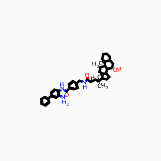 C[C@H](CCC(=O)NCc1ccc(C(=O)Nc2ccc(-c3ccccc3)cc2N)cc1)C1CCC2C3C(O)CC4CCCCC4(C)C3CCC21C